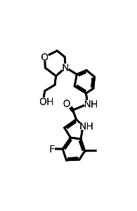 Cc1ccc(F)c2cc(C(=O)Nc3cccc(N4CCOCC4CCO)c3)[nH]c12